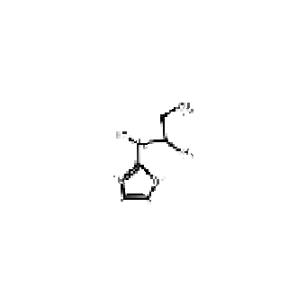 CCC(N)[C@H](O)c1ncco1